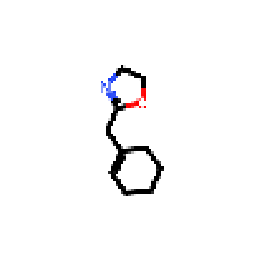 C1=C(CC2=NCCO2)CCCC1